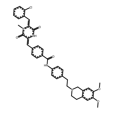 COc1cc2c(cc1OC)CN(CCc1ccc(NC(=O)c3ccc(C=c4[nH]c(=O)c(=Cc5ccccc5Cl)n(C)c4=O)cc3)cc1)CC2